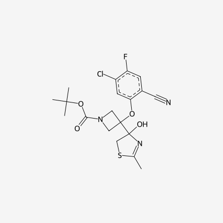 CC1=NC(O)(C2(Oc3cc(Cl)c(F)cc3C#N)CN(C(=O)OC(C)(C)C)C2)CS1